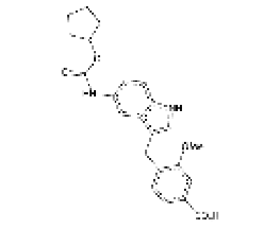 COc1cc(C(=O)O)ccc1Cc1c[nH]c2ccc(NC(=O)OC3CCCC3)cc12